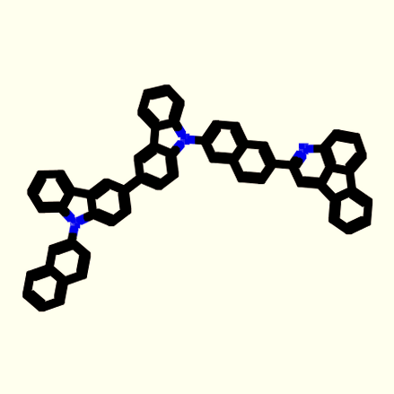 c1ccc2c(c1)-c1cccc3nc(-c4ccc5cc(-n6c7ccccc7c7cc(-c8ccc9c(c8)c8ccccc8n9-c8ccc9ccccc9c8)ccc76)ccc5c4)cc-2c13